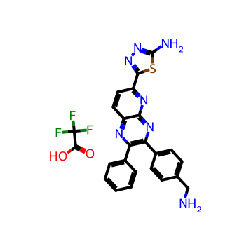 NCc1ccc(-c2nc3nc(-c4nnc(N)s4)ccc3nc2-c2ccccc2)cc1.O=C(O)C(F)(F)F